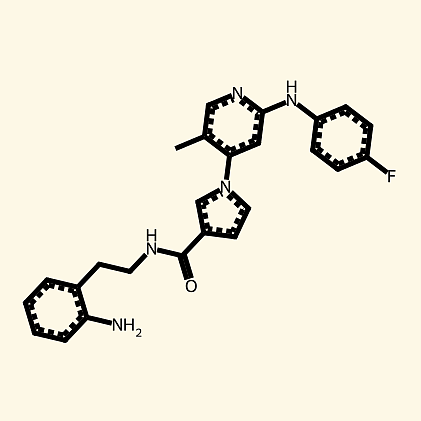 Cc1cnc(Nc2ccc(F)cc2)cc1-n1ccc(C(=O)NCCc2ccccc2N)c1